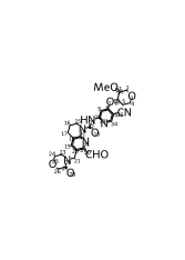 CO[C@H]1COCC[C@@H]1Oc1cc(NC(=O)N2CCCc3cc(CN4CCOCC4=O)c(C=O)nc32)ncc1C#N